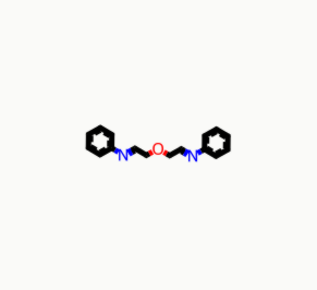 C(COCC=Nc1ccccc1)=Nc1ccccc1